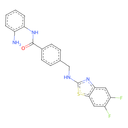 Nc1ccccc1NC(=O)c1ccc(CNc2nc3cc(F)c(F)cc3s2)cc1